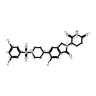 O=C1CCC(N2Cc3cc(C4CCN(S(=O)(=O)c5cc(F)cc(F)c5)CC4)c(F)cc3C2=O)C(=O)N1